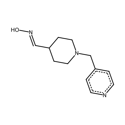 ON=CC1CCN(Cc2ccncc2)CC1